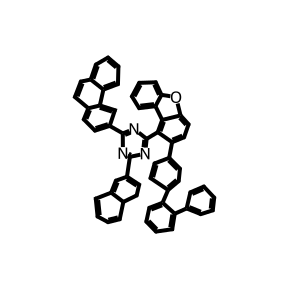 C1=CC2=CC(c3nc(-c4ccc5ccc6ccccc6c5c4)nc(-c4c(-c5ccc(-c6ccccc6-c6ccccc6)cc5)ccc5oc6ccccc6c45)n3)=CCC2C=C1